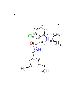 CCCCC(CCC)CNC(=O)c1cn(C(C)C)c2cccc(Cl)c12